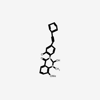 COc1cccc2c1N(C)C(O)N(c1ccc(C#Cc3ccccc3)cc1Cl)C2=O